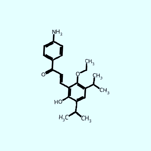 CCOc1c(C(C)C)cc(C(C)C)c(O)c1/C=C/C(=O)c1ccc(N)cc1